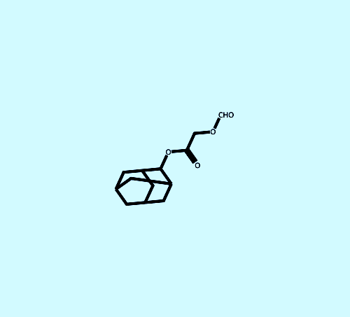 O=COCC(=O)OC1C2CC3CC(C2)CC1C3